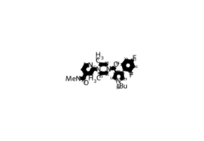 CNC(=O)c1ccnc(N2[C@H](C)CN(C(=O)[C@@H]3CN(C(C)(C)C)C[C@H]3c3ccc(F)cc3F)C[C@@H]2C)c1